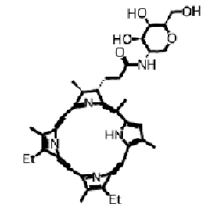 CCC1=C(C)c2cc3[nH]c(cc4nc(c(C)c5cc(C)c(cc1n2)[nH]5)[C@@H](CCC(=O)N[C@H]1CO[C@H](CO)[C@H](O)[C@@H]1O)[C@@H]4C)c(C)c3CC